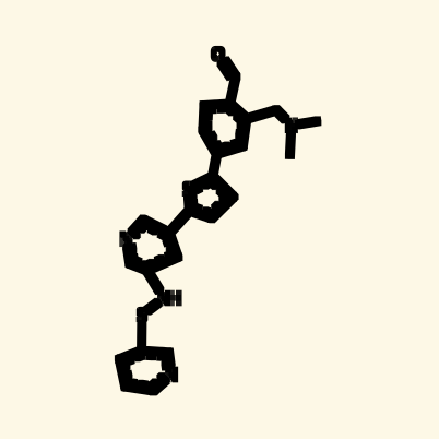 CN(C)Cc1cc(-c2ccc(-c3cncc(NSc4cccnc4)c3)s2)ccc1C=O